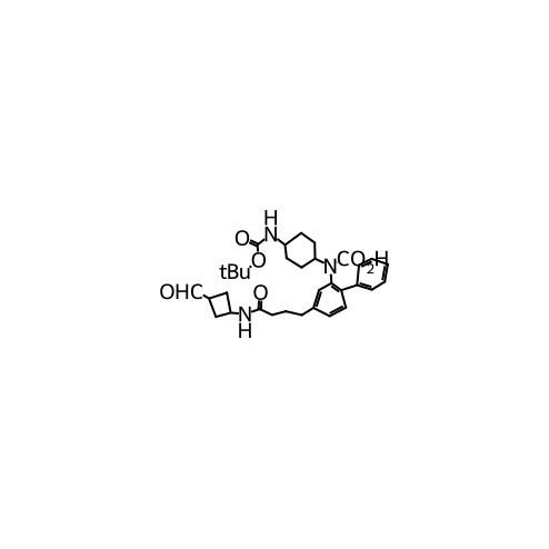 CC(C)(C)OC(=O)NC1CCC(N(C(=O)O)c2cc(CCCC(=O)NC3CC(C=O)C3)ccc2-c2ccccc2)CC1